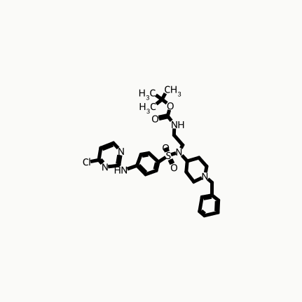 CC(C)(C)OC(=O)NCCN(C1CCN(Cc2ccccc2)CC1)S(=O)(=O)c1ccc(Nc2nccc(Cl)n2)cc1